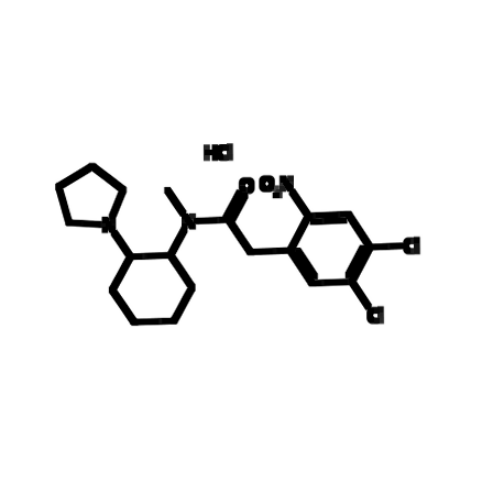 CN(C(=O)Cc1cc(Cl)c(Cl)cc1[N+](=O)[O-])C1CCCCC1N1CCCC1.Cl